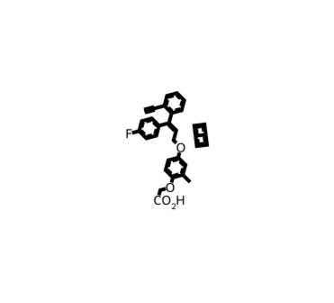 C#Cc1ccccc1C(=CCOc1ccc(OCC(=O)O)c(C)c1)c1ccc(F)cc1.c1cc2ccc1-2